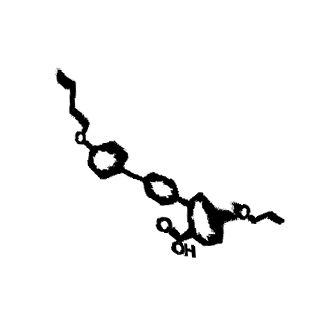 C=CCOc1ccc(C(=O)O)c(-c2ccc(-c3ccc(OCCCC)cc3)cc2)c1